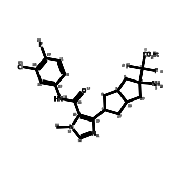 CCOC(=O)C(F)(F)C1(N)CC2CC(c3ncn(C)c3C(=O)Nc3ccc(F)c(Cl)c3)CC2C1